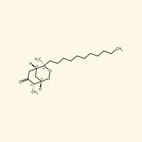 CCCCCCCCCCC[C@@]1(C)OO[C@H]2C[C@@H]1CC(=O)[C@H]2C